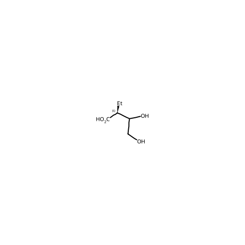 CC[C@H](C(=O)O)C(O)CO